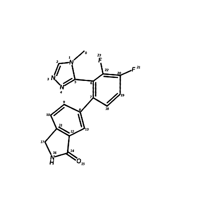 Cn1cnnc1-c1c(-c2ccc3c(c2)C(=O)NC3)ccc(F)c1F